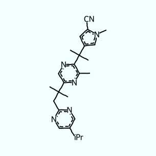 Cc1nc(C(C)(C)Cc2ncc(C(C)C)cn2)cnc1C(C)(C)c1cc(C#N)n(C)c1